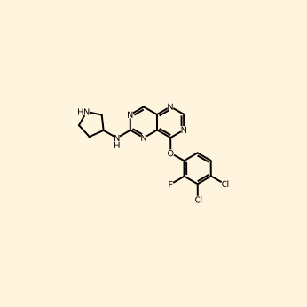 Fc1c(Oc2ncnc3cnc(NC4CCNC4)nc23)ccc(Cl)c1Cl